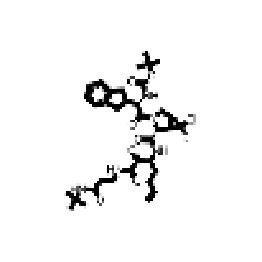 C=CCCC(NC(=O)[C@@H]1C2C(CN1C(=O)[C@@H](NC(=O)OC(C)(C)C)C1Cc3ccccc3C1)C2(Cl)Cl)C(=O)C(=O)NCCC(=O)NC(C)(C)C